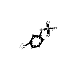 CC(C)S(=O)(=O)Nc1cccc(C(F)(F)F)c1